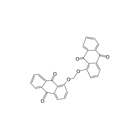 O=C1c2ccccc2C(=O)c2c(OCOc3cccc4c3C(=O)c3ccccc3C4=O)cccc21